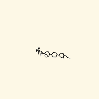 CCCC1CCC(C2CCC(C3CCC(/C(F)=C/C(F)(F)F)OC3)CC2)CC1